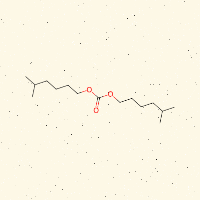 CC(C)CCCCOC(=O)OCCCCC(C)C